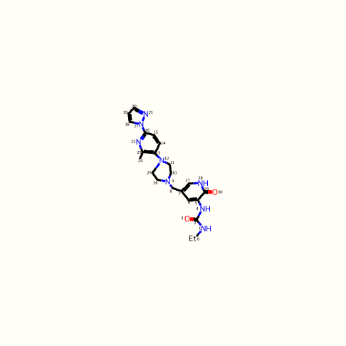 CCNC(=O)Nc1cc(CN2CCN(c3ccc(-n4cccn4)nc3C)CC2)c[nH]c1=O